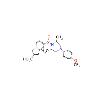 CC1CN(c2ccc(OC(F)(F)F)cc2)CC(C)N1[S+]([O-])c1ccc2c(c1)CC(C(=O)O)C2